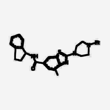 CCN1CCN(c2nc3c(C)cc(C(=O)NC4CCc5ccccc54)cc3s2)CC1